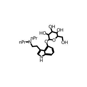 CCCN(CCC)CCc1c[nH]c2cccc(OC3OC(CO)C(O)C(O)C3O)c12